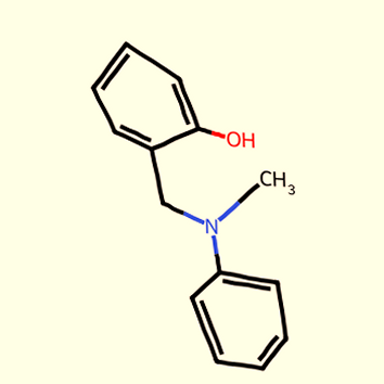 CN(Cc1ccccc1O)c1ccccc1